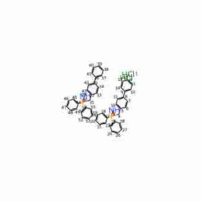 Cl.Cl.N=P(Cc1ccc(-c2ccccc2)cc1)(c1ccccc1)c1ccccc1.N=P(Cc1ccc(-c2ccccc2)cc1)(c1ccccc1)c1ccccc1